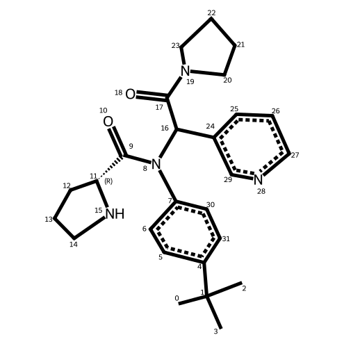 CC(C)(C)c1ccc(N(C(=O)[C@H]2CCCN2)C(C(=O)N2CCCC2)c2cccnc2)cc1